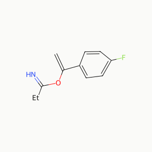 C=C(OC(=N)CC)c1ccc(F)cc1